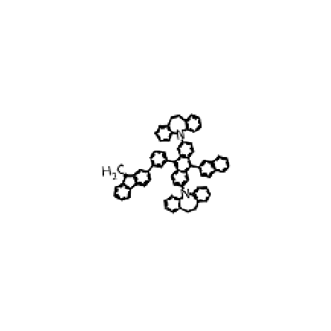 C=C1c2ccccc2-c2ccc(-c3cccc(-c4c5ccc(N6c7ccccc7CCc7ccccc76)cc5c(-c5ccc6ccccc6c5)c5ccc(N6c7ccccc7CCc7ccccc76)cc45)c3)cc21